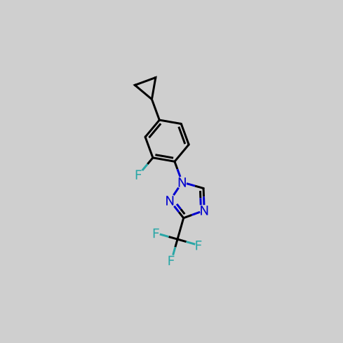 Fc1cc(C2CC2)ccc1-n1cnc(C(F)(F)F)n1